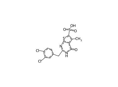 Cc1c(S(=O)(=O)O)sc2nc(Cc3ccc(Cl)c(Cl)c3)[nH]c(=O)c12